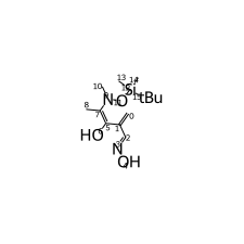 C=C(/C=N/O)/C(O)=C(/C)N(C)O[Si](C)(C)C(C)(C)C